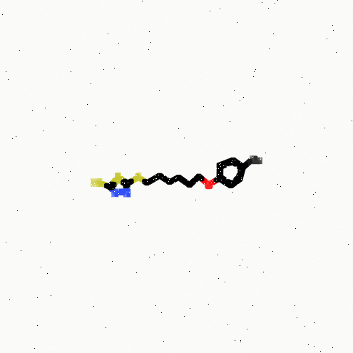 CCC(C)c1ccc(OCCCCCCSc2nnc(S)s2)cc1